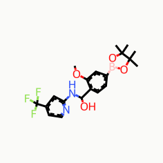 COc1cc(B2OC(C)(C)C(C)(C)O2)ccc1C(O)Nc1cc(C(F)(F)F)ccn1